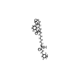 O=C(C=Cc1cccnc1)NCCCCCCCCN(CCCN1CCOCC1)C(=O)c1ccccc1